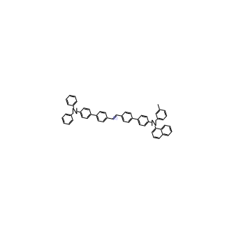 Cc1cccc(N(c2ccc(-c3ccc(/C=C/c4ccc(-c5ccc(N(c6ccccc6)c6ccccc6)cc5)cc4)cc3)cc2)c2cccc3ccccc23)c1